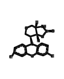 O=S1N[C@H]2COC[C@H](N3c4ccc(Cl)cc4Oc4cc(Cl)ccc43)[C@H]2O1